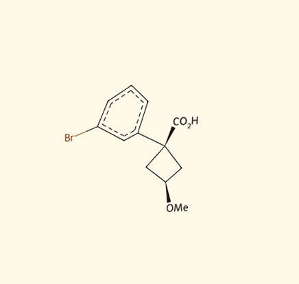 CO[C@H]1C[C@](C(=O)O)(c2cccc(Br)c2)C1